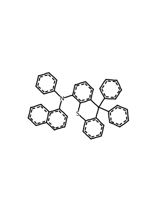 c1ccc(N(c2cccc3c2Sc2ccccc2C3(c2ccccc2)c2ccccc2)c2cccc3ccccc23)cc1